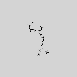 C/C(Br)=C\C(Cc1nc(CCCCN(C(=O)OC(C)(C)C)C(=O)OC(C)(C)C)cs1)OC(=O)/C=C(\C)CC(C)OC=O